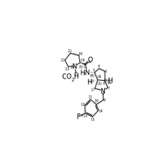 O=C(N[C@@H]1CC[C@H]2CN(Cc3ccc(F)cc3)C[C@H]21)[C@@H]1CCCCN1C(=O)O